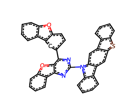 c1ccc2c(c1)oc1ccc(-c3nc(-n4c5ccccc5c5cc6sc7ccccc7c6cc54)nc4c3oc3ccccc34)cc12